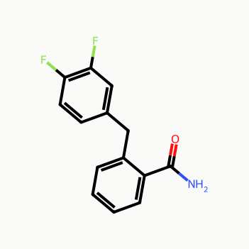 NC(=O)c1ccccc1Cc1ccc(F)c(F)c1